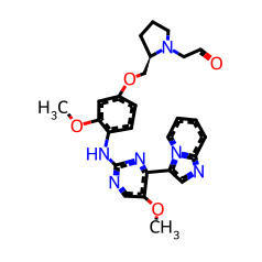 COc1cc(OC[C@H]2CCCN2CC=O)ccc1Nc1ncc(OC)c(-c2cnc3ccccn23)n1